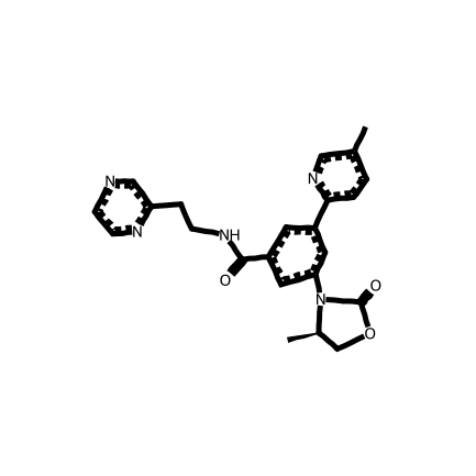 Cc1ccc(-c2cc(C(=O)NCCc3cnccn3)cc(N3C(=O)OC[C@H]3C)c2)nc1